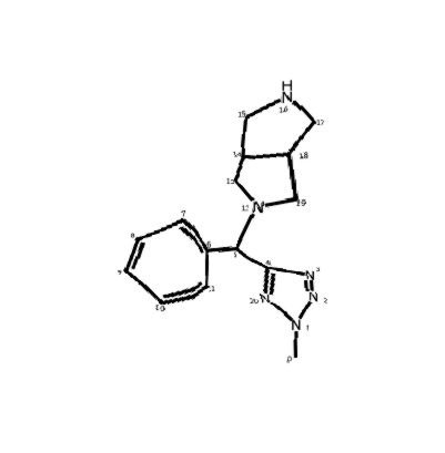 Cn1nnc(C(c2ccccc2)N2CC3CNCC3C2)n1